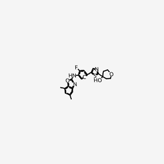 Cc1cc(C)c2oc(Nc3ccc(-c4cnc(C5(O)CCOCC5)s4)cc3F)nc2c1